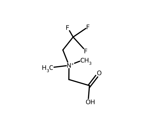 C[N+](C)(CC(=O)O)CC(F)(F)F